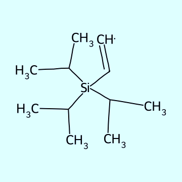 [CH]=C[Si](C(C)C)(C(C)C)C(C)C